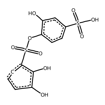 O=S(=O)(O)c1ccc(OS(=O)(=O)c2cccc(O)c2O)c(O)c1